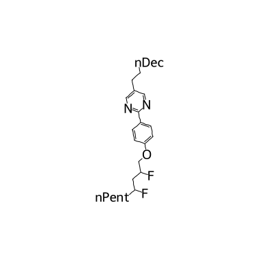 CCCCCCCCCCCCc1cnc(-c2ccc(OCC(F)CC(F)CCCCC)cc2)nc1